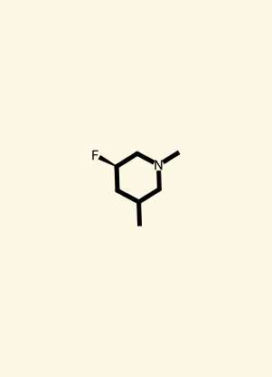 CC1C[C@@H](F)CN(C)C1